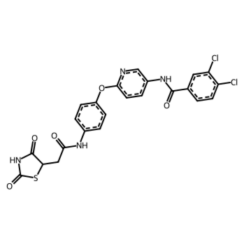 O=C(CC1SC(=O)NC1=O)Nc1ccc(Oc2ccc(NC(=O)c3ccc(Cl)c(Cl)c3)cn2)cc1